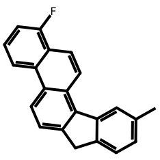 Cc1ccc2c(c1)-c1c(ccc3c1ccc1c(F)cccc13)C2